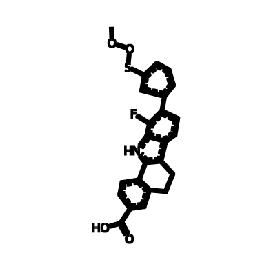 COOSc1cccc(-c2ccc3c4c([nH]c3c2F)-c2ccc(C(=O)O)cc2CC4)c1